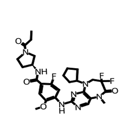 CCC(=O)N1CC[C@H](NC(=O)c2cc(OC)c(Nc3ncc4c(n3)N(C3CCCC3)CC(F)(F)C(=O)N4C)cc2F)C1